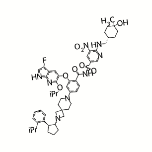 CC(C)Oc1nc2[nH]cc(F)c2cc1Oc1cc(N2CCC3(CC2)CN([C@H]2CCC[C@H]2c2ccccc2C(C)C)C3)ccc1C(=O)NS(=O)(=O)c1cnc(NC[C@H]2CC[C@](C)(O)CC2)c([N+](=O)[O-])c1